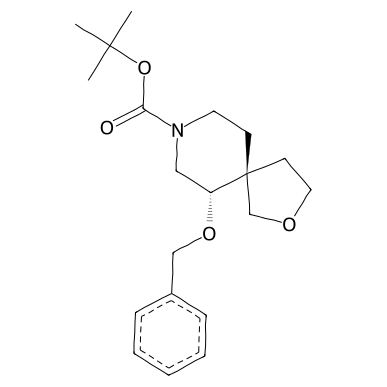 CC(C)(C)OC(=O)N1CC[C@]2(CCOC2)[C@H](OCc2ccccc2)C1